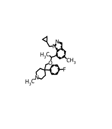 Cc1cc(C(C)OCC2(c3ccc(F)cc3)CCN(C)CC2)c2c(cnn2CC2CC2)c1